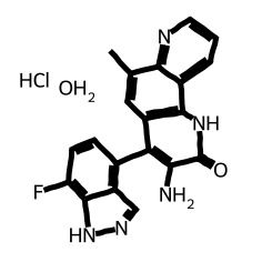 Cc1cc2c(-c3ccc(F)c4[nH]ncc34)c(N)c(=O)[nH]c2c2cccnc12.Cl.O